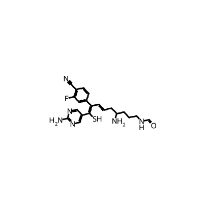 N#Cc1ccc(C(/C=C/CC(N)CCCNC=O)=C(/S)c2cnc(N)nc2)cc1F